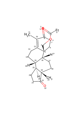 CCC(=O)OC[C@]12CCC(=O)C(C)=C1CC[C@@H]1[C@H]2CC[C@]2(C)C(=O)CC[C@@H]12